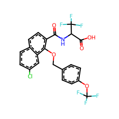 O=C(NC(C(=O)O)C(F)(F)F)c1ccc2ccc(Cl)cc2c1OCc1ccc(OC(F)(F)F)cc1